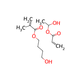 C=C(C)C(=O)OCCCCO.C=CC(=O)OC(C)O